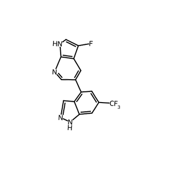 Fc1c[nH]c2ncc(-c3cc(C(F)(F)F)cc4[nH]ncc34)cc12